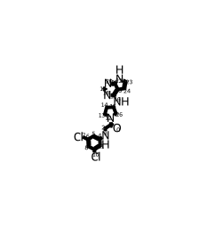 O=C(CNc1cc(Cl)cc(Cl)c1)N1CC[C@H](Nc2ncnc3[nH]ccc23)C1